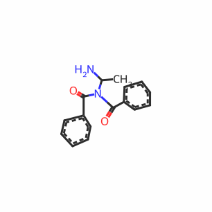 CC(N)N(C(=O)c1ccccc1)C(=O)c1ccccc1